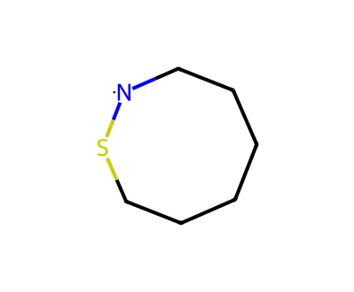 C1CCCS[N]CC1